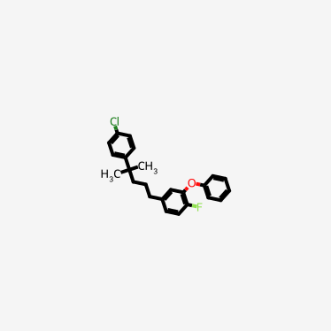 CC(C)(CCCc1ccc(F)c(Oc2ccccc2)c1)c1ccc(Cl)cc1